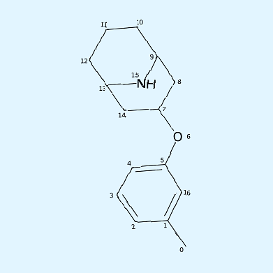 Cc1cccc(OC2CC3CCCC(C2)N3)c1